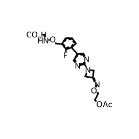 CC(=O)OCCON=C1CN(c2ncc(-c3cccc(CONC(=O)O)c3F)cn2)C1